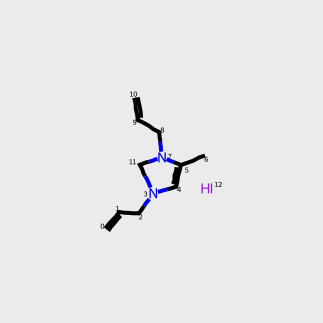 C=CCN1C=C(C)N(CC=C)C1.I